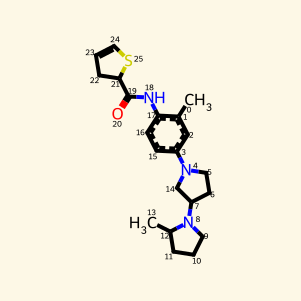 Cc1cc(N2CCC(N3CCCC3C)C2)ccc1NC(=O)C1CC=CS1